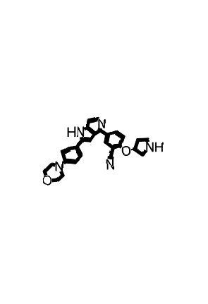 N#Cc1cc(-c2nccc3[nH]c(-c4ccc(N5CCOCC5)cc4)cc23)ccc1O[C@@H]1CCNC1